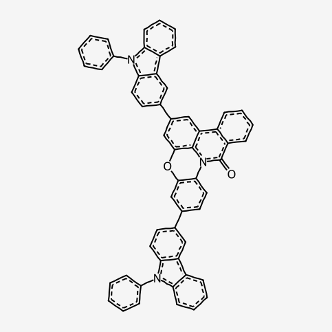 O=c1c2ccccc2c2cc(-c3ccc4c(c3)c3ccccc3n4-c3ccccc3)cc3c2n1-c1ccc(-c2ccc4c(c2)c2ccccc2n4-c2ccccc2)cc1O3